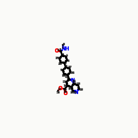 CNC(=O)c1ccc(-c2ccc(-c3cc(C(=O)OC)c4cnccc4n3)cc2)cc1